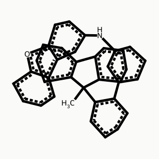 CC1(c2ccccc2-c2cccc(Nc3ccc4oc5ccccc5c4c3)c2)c2ccccc2-c2ccccc21